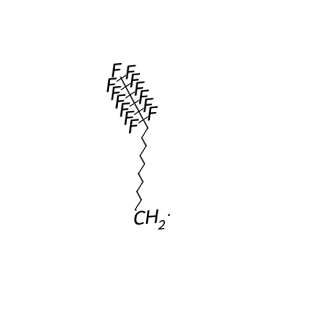 [CH2]CCCCCCCCCCC(F)(F)C(F)(F)C(F)(F)C(F)(F)C(F)(F)C(F)(F)F